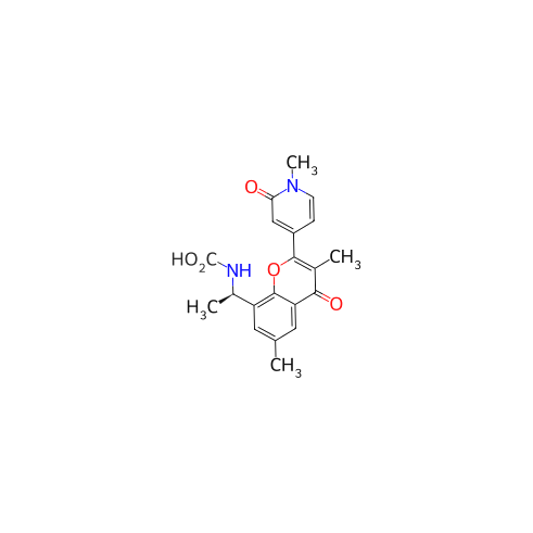 Cc1cc([C@@H](C)NC(=O)O)c2oc(-c3ccn(C)c(=O)c3)c(C)c(=O)c2c1